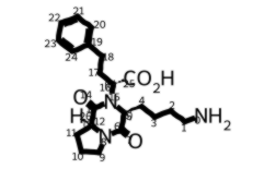 NCCCC[C@H]1C(=O)N2CCC[C@H]2C(=O)N1[C@H](CCc1ccccc1)C(=O)O